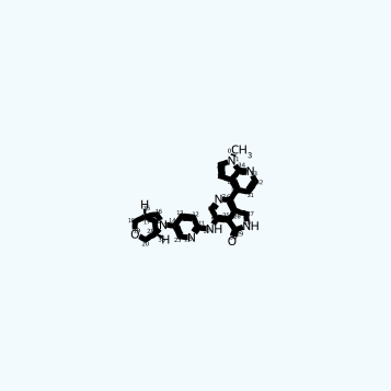 Cn1ccc2c(-c3ncc(Nc4ccc(N5C[C@H]6COC[C@@H]5C6)cn4)c4c3CNC4=O)ccnc21